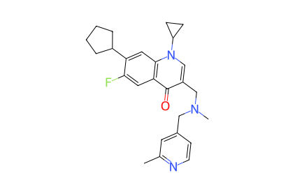 Cc1cc(CN(C)Cc2cn(C3CC3)c3cc(C4CCCC4)c(F)cc3c2=O)ccn1